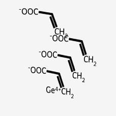 C=CC(=O)[O-].C=CC(=O)[O-].C=CC(=O)[O-].C=CC(=O)[O-].[Ge+4]